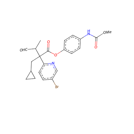 COC(=O)Nc1ccc(OC(=O)C(CC2CC2)(c2ccc(Br)cn2)C(C)C=O)cc1